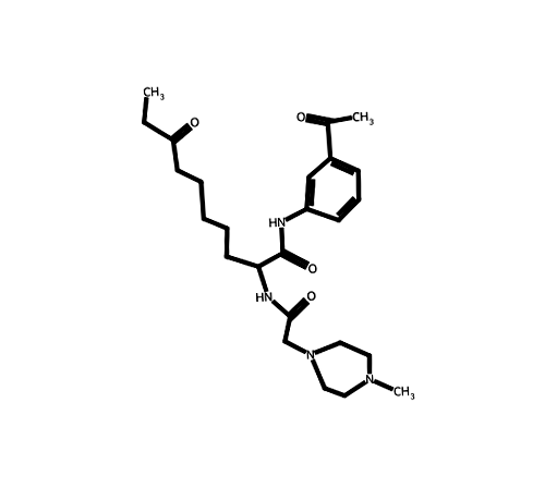 CCC(=O)CCCCCC(NC(=O)CN1CCN(C)CC1)C(=O)Nc1cccc(C(C)=O)c1